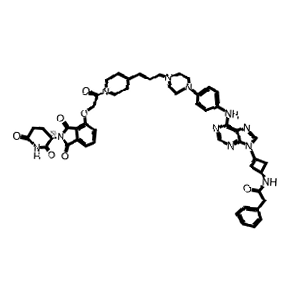 O=C1CC[C@H](N2C(=O)c3cccc(OCC(=O)N4CCC(CCCN5CCN(c6ccc(Nc7ncnc8c7ncn8C7CC(NC(=O)Cc8ccccc8)C7)cc6)CC5)CC4)c3C2=O)C(=O)N1